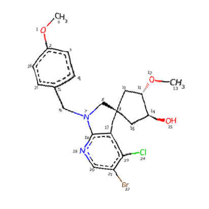 COc1ccc(CN2C[C@]3(C[C@H](OC)[C@@H](O)C3)c3c2ncc(Br)c3Cl)cc1